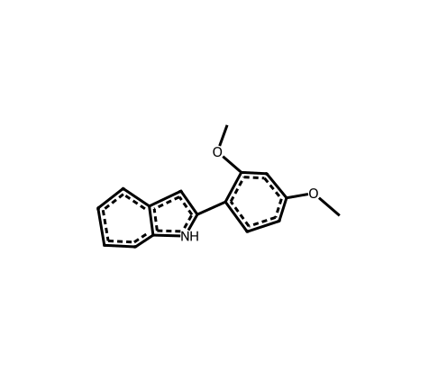 COc1ccc(-c2cc3ccccc3[nH]2)c(OC)c1